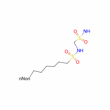 CCCCCCCCCCCCCCCS(=O)(=O)NCS([NH])(=O)=O